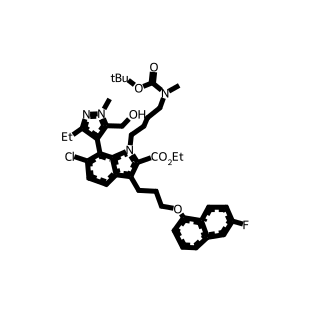 CCOC(=O)c1c(CCCOc2cccc3cc(F)ccc23)c2ccc(Cl)c(-c3c(CC)nn(C)c3CO)c2n1CCCCN(C)C(=O)OC(C)(C)C